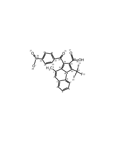 Cc1cc2ccccc2n2c(C(F)(F)F)c(C(=O)O)c(C(=O)c3ccc([N+](=O)[O-])cc3)c12